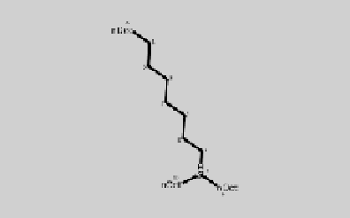 CCCCCCCCCCCCCCCCC[SiH](CCCCCCCC)CCCCCCCC